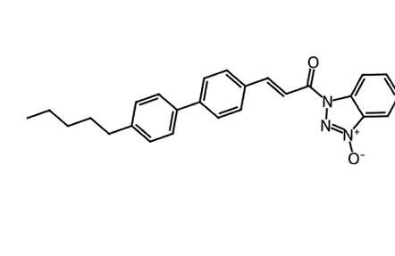 CCCCCc1ccc(-c2ccc(C=CC(=O)n3n[n+]([O-])c4ccccc43)cc2)cc1